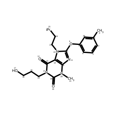 Cc1cccc(Oc2nc3c(c(=O)n(CCCO)c(=O)n3C)n2CCC(C)C)c1